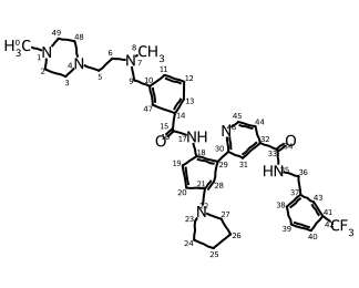 CN1CCN(CCN(C)Cc2cccc(C(=O)Nc3ccc(N4CCCCC4)cc3-c3cc(C(=O)NCc4cccc(C(F)(F)F)c4)ccn3)c2)CC1